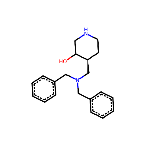 OC1CNCC[C@H]1CN(Cc1ccccc1)Cc1ccccc1